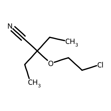 CCC(C#N)(CC)OCCCl